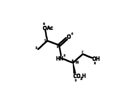 CC(=O)OC(C)C(=O)N[C@@H](CO)C(=O)O